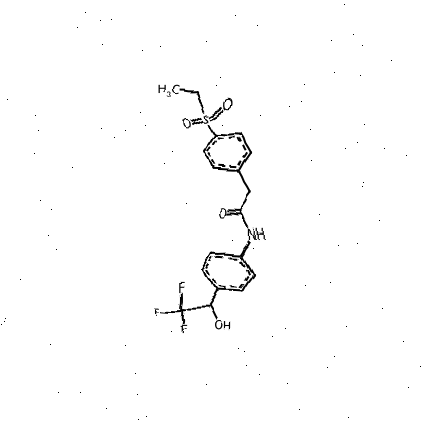 CCS(=O)(=O)c1ccc(CC(=O)Nc2ccc(C(O)C(F)(F)F)cc2)cc1